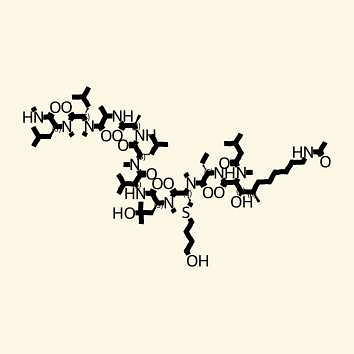 CC[C@H](NC(=O)C([C@H](O)[C@H](C)CCCCCCNC(C)=O)N(C)C(=O)CC(C)C)C(=O)N(C)[C@H](CSCCCCO)C(=O)N(C)[C@@H](CC(C)(C)O)C(=O)N[C@H](C(=O)N(C)[C@@H](CC(C)C)C(=O)N[C@H](C)C(=O)NC(C)C(=O)N(C)[C@@H](CC(C)C)C(=O)N(C)[C@@H](CC(C)C)C(=O)NC)C(C)C